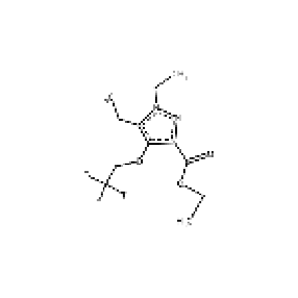 CCOC(=O)c1nn(CC)c(CC)c1OCC(F)(F)F